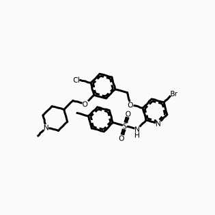 Cc1ccc(S(=O)(=O)Nc2ncc(Br)cc2OCc2ccc(Cl)c(OCC3CCN(C)CC3)c2)cc1